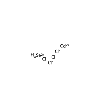 [Cd+2].[Cl-].[Cl-].[Cl-].[Cl-].[SeH4+2]